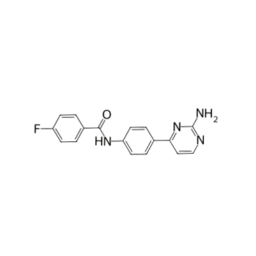 Nc1nccc(-c2ccc(NC(=O)c3ccc(F)cc3)cc2)n1